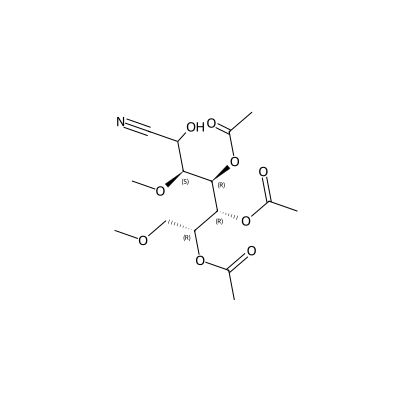 COC[C@@H](OC(C)=O)[C@@H](OC(C)=O)[C@H](OC(C)=O)[C@@H](OC)C(O)C#N